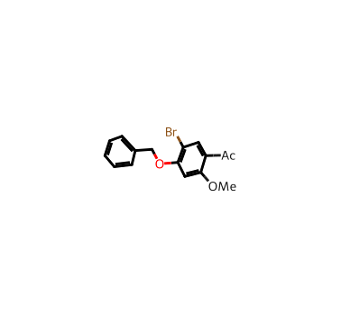 COc1cc(OCc2ccccc2)c(Br)cc1C(C)=O